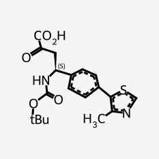 Cc1ncsc1-c1ccc([C@H](CC(=O)C(=O)O)NC(=O)OC(C)(C)C)cc1